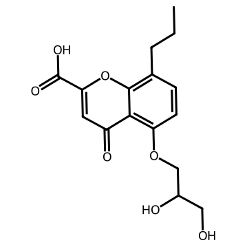 CCCc1ccc(OCC(O)CO)c2c(=O)cc(C(=O)O)oc12